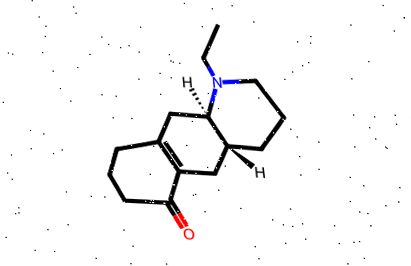 CCN1CCC[C@@H]2CC3=C(CCCC3=O)C[C@H]21